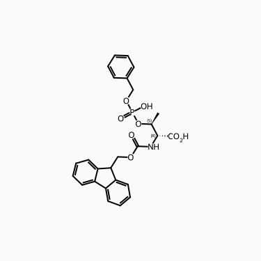 C[C@H](OP(=O)(O)OCc1ccccc1)[C@@H](NC(=O)OCC1c2ccccc2-c2ccccc21)C(=O)O